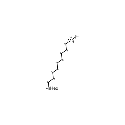 CCCCCCCCCCCCCC[CH2][Mg][I]